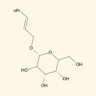 CCC/C=C/CO[C@@H]1OC(CO)[C@H](O)[C@H](O)C1O